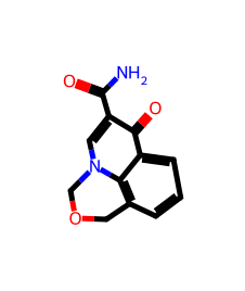 NC(=O)c1cn2c3c(cccc3c1=O)COC2